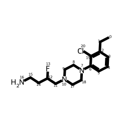 CCc1cccc(N2CCN(CC(F)CCN)CC2)c1Cl